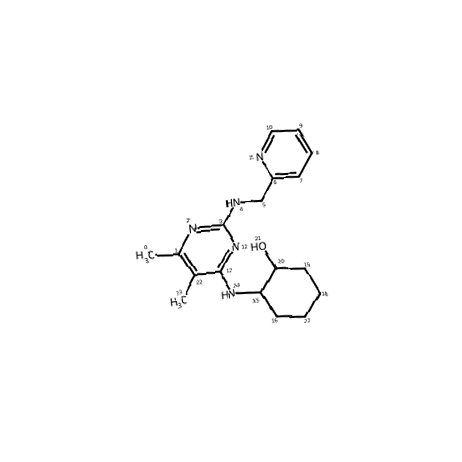 Cc1nc(NCc2ccccn2)nc(NC2CCCCC2O)c1C